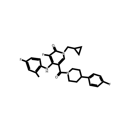 Cc1cc(F)ccc1Nc1c(C(=O)N2CCC(c3ccc(F)cc3)CC2)cn(CC2CC2)c(=O)c1F